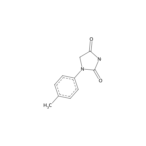 Cc1ccc(N2CC(=O)[N]C2=O)cc1